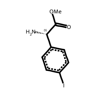 COC(=O)[C@@H](N)c1ccc(I)cc1